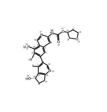 Cc1c(-c2cc3cc(NC(=O)O[C@H]4CCOC4)ncc3c(N)c2F)cnc2c1[C@@H](O)CC2